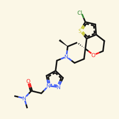 C[C@H]1C[C@@]2(CCN1Cc1cnn(CC(=O)N(C)C)c1)OCCc1cc(Cl)sc12